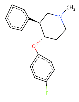 CN1CC[C@H](Oc2ccc(F)cc2)[C@@H](c2ccccc2)C1